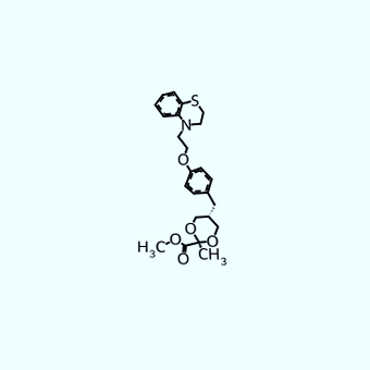 COC(=O)[C@]1(C)OC[C@H](Cc2ccc(OCCN3CCSc4ccccc43)cc2)CO1